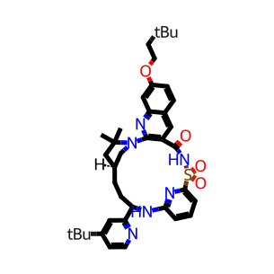 CC(C)(C)CCOc1ccc2cc3c(nc2c1)N1C[C@@H](CCC(c2cc(C(C)(C)C)ccn2)Nc2cccc(n2)S(=O)(=O)NC3=O)CC1(C)C